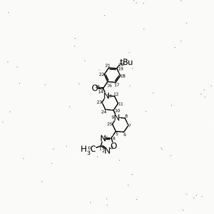 Cc1noc(C2CCCN(C3CCN(C(=O)c4ccc(C(C)(C)C)cc4)CC3)C2)n1